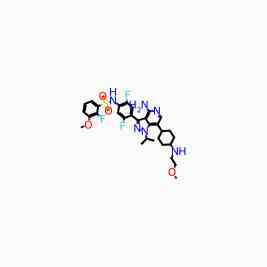 COCCNC1CCC(c2cnc(N)c3c(-c4cc(F)c(NS(=O)(=O)c5cccc(OC)c5F)cc4F)nn(C(C)C)c23)CC1